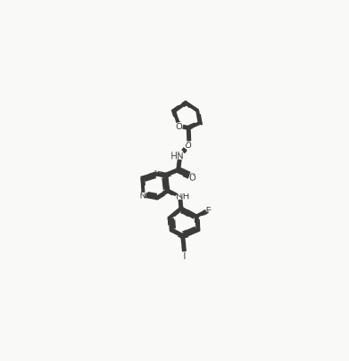 O=C(NOC1CCCCO1)c1ccncc1Nc1ccc(I)cc1F